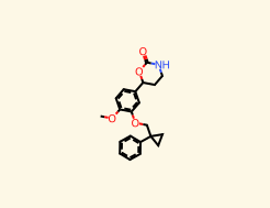 COc1ccc(C2CCNC(=O)O2)cc1OCC1(c2ccccc2)CC1